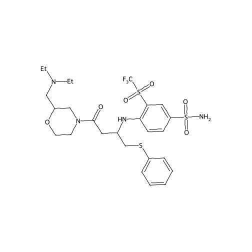 CCN(CC)CC1CN(C(=O)CC(CSc2ccccc2)Nc2ccc(S(N)(=O)=O)cc2S(=O)(=O)C(F)(F)F)CCO1